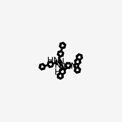 C1=CC(C2NC(N3C4=Cc5ccccc5CC4c4cc(N5c6ccccc6C6C=c7ccccc7=CC65)ccc43)=NC(c3ccc(-c4ccccc4)cc3)N2)CC=C1c1ccccc1